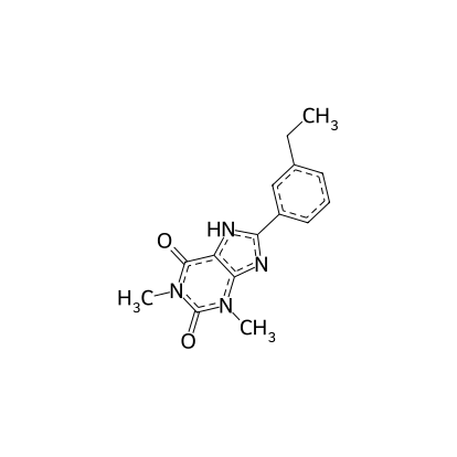 CCc1cccc(-c2nc3c([nH]2)c(=O)n(C)c(=O)n3C)c1